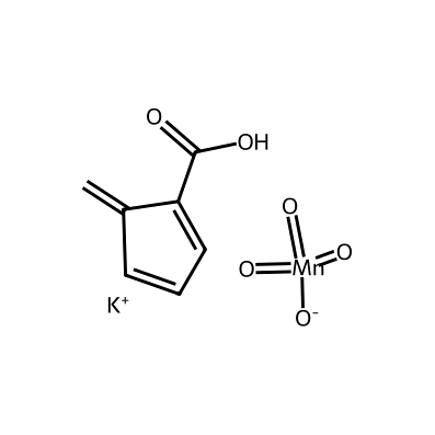 C=C1C=CC=C1C(=O)O.[K+].[O]=[Mn](=[O])(=[O])[O-]